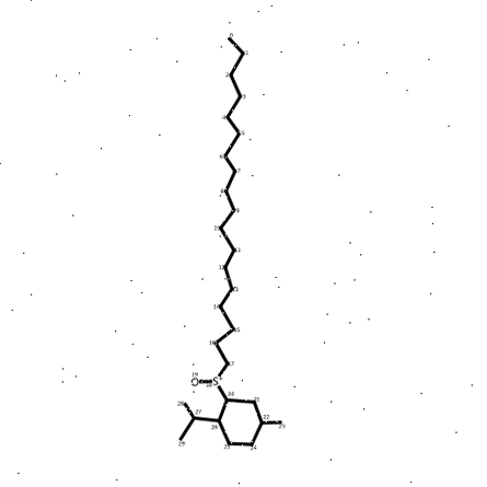 CCCCCCCCCCCCCCCCCC[S+]([O-])C1CC(C)CCC1C(C)C